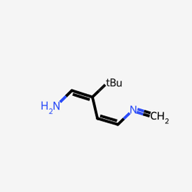 C=N/C=C\C(=C/N)C(C)(C)C